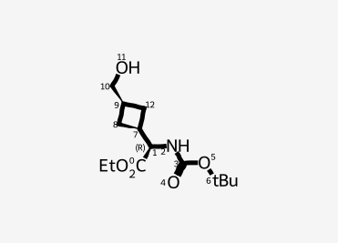 CCOC(=O)[C@H](NC(=O)OC(C)(C)C)[C@H]1C[C@@H](CO)C1